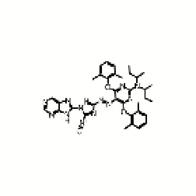 [C-]#[N+]c1nc(N=Nc2c(Oc3c(C)cccc3C)nc(N(C(C)CC)C(C)CC)nc2Oc2c(C)cccc2C)nn1-c1nc2cncnc2[nH]1